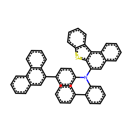 c1ccc(-c2ccccc2N(c2ccc(-c3cc4ccccc4c4ccccc34)cc2)c2cc3ccccc3c3c2sc2ccccc23)cc1